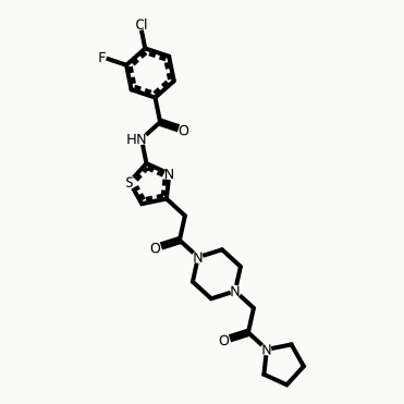 O=C(Nc1nc(CC(=O)N2CCN(CC(=O)N3CCCC3)CC2)cs1)c1ccc(Cl)c(F)c1